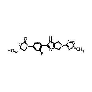 Cn1nnc(N2Cc3nc(-c4ccc(N5C[C@H](CO)OC5=O)cc4F)[nH]c3C2)n1